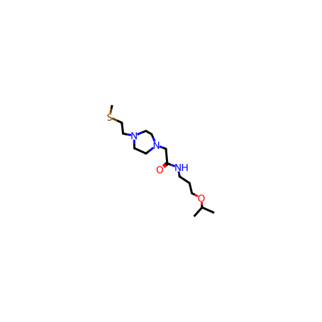 CSCCN1CCN(CC(=O)NCCCOC(C)C)CC1